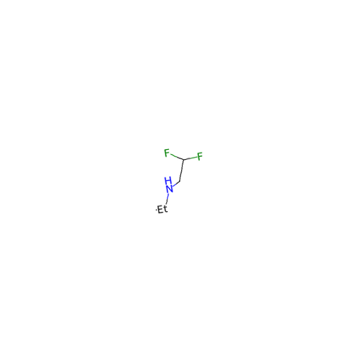 C[CH]NCC(F)F